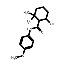 CSc1ccc(NC(=O)C2C(C)CCCC2(C)C)cc1